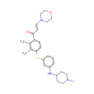 CN1CCC(Nc2cccc(Sc3ccc(C(=O)C=CN4CCOCC4)c(C(F)(F)F)c3C(F)(F)F)c2)CC1